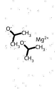 CC(C)[O-].CC(C)[O-].[Mg+2]